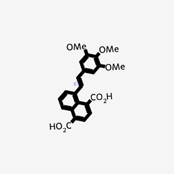 COc1cc(/C=C/c2cccc3c(C(=O)O)ccc(C(=O)O)c23)cc(OC)c1OC